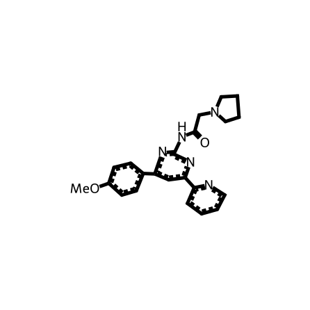 COc1ccc(-c2cc(-c3ccccn3)nc(NC(=O)CN3CCCC3)n2)cc1